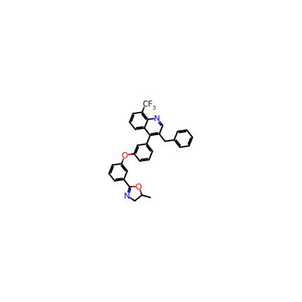 CC1CN=C(c2cccc(Oc3cccc(-c4c(Cc5ccccc5)cnc5c(C(F)(F)F)cccc45)c3)c2)O1